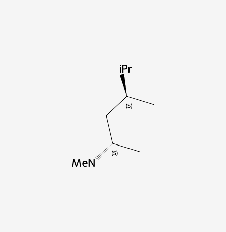 CN[C@@H](C)C[C@H](C)C(C)C